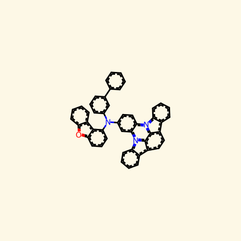 c1ccc(-c2cccc(N(c3ccc4c(c3)n3c5ccccc5c5ccc6c7ccccc7n4c6c53)c3cccc4oc5ccccc5c34)c2)cc1